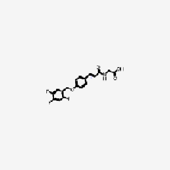 O=C(O)CNC(=O)/C=C/c1ccc(OCc2cc(F)c(F)cc2F)cc1